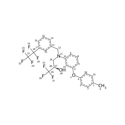 Cc1ccc(Oc2cccc(N(Cc3cccc(C(F)(F)C(F)(F)F)c3)C[C@@H](O)C(F)(F)F)c2)cc1